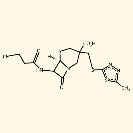 Cc1nnc(SCC2(C(=O)O)CS[C@@H]3C(NC(=O)CCCl)C(=O)N3C2)s1